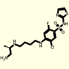 C[C@H](CN)NCCCCNc1cc(F)c(S(=O)(=O)Nc2nccs2)cc1Cl